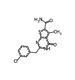 Cc1c(C(N)=O)sc2nc(Cc3cccc(Cl)c3)[nH]c(=O)c12